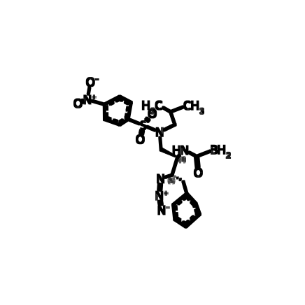 BC(=O)N[C@H](CN(CC(C)C)S(=O)(=O)c1ccc([N+](=O)[O-])cc1)[C@H](Cc1ccccc1)N=[N+]=[N-]